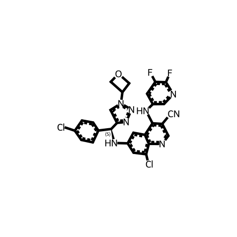 N#Cc1cnc2c(Cl)cc(N[C@@H](c3ccc(Cl)cc3)c3cn(C4COC4)nn3)cc2c1Nc1cnc(F)c(F)c1